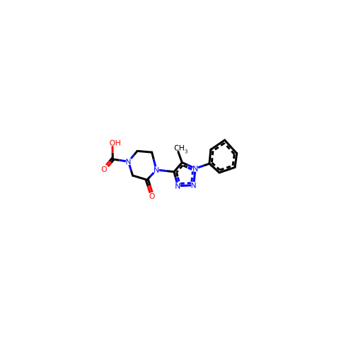 Cc1c(N2CCN(C(=O)O)CC2=O)nnn1-c1ccccc1